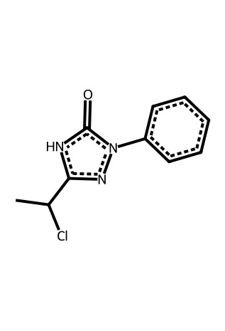 CC(Cl)c1nn(-c2ccccc2)c(=O)[nH]1